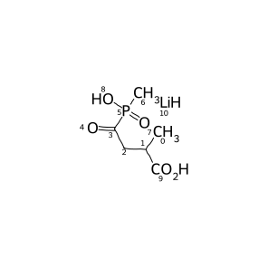 CC(CC(=O)P(C)(=O)O)C(=O)O.[LiH]